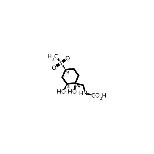 CS(=O)(=O)[C@H]1CC[C@](O)(CNC(=O)O)[C@@H](O)C1